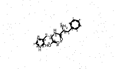 N[C@@H](Cc1ccccc1)C(=O)N[C@@H](Cc1c[nH]cn1)C(=O)O